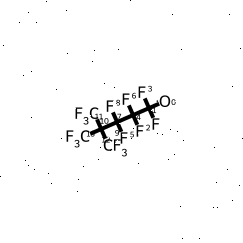 [O]C(F)(F)C(F)(F)C(F)(F)C(C(F)(F)F)(C(F)(F)F)C(F)(F)F